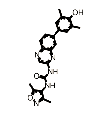 Cc1cc(-c2ccc3ncc(NC(=O)Nc4c(C)noc4C)nc3c2)cc(C)c1O